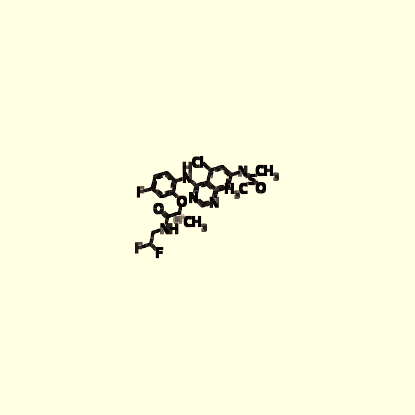 C[C@@H](Oc1cc(F)ccc1Nc1ncnc2cc(N=S(C)(C)=O)cc(Cl)c12)C(=O)NCC(F)F